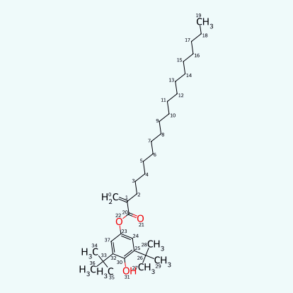 C=C(CCCCCCCCCCCCCCCCCC)C(=O)Oc1cc(C(C)(C)C)c(O)c(C(C)(C)C)c1